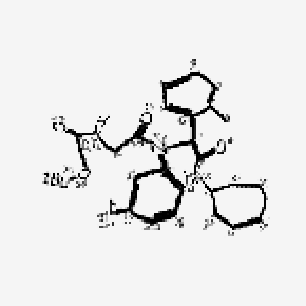 Cc1ccccc1C(C(=O)NC1CCCCC1)N(C(=O)CNC(=O)OC(C)(C)C)c1cccc(F)c1